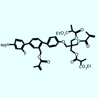 C=C(C)C(=O)OCc1cc(-c2ccc(CCCCCCC)cc2F)ccc1-c1ccc(OCC(COC(=O)C(=C)C)(COC(=O)C(C)C(=O)OCC)COC(=O)C(C)C(=O)OCC)cc1